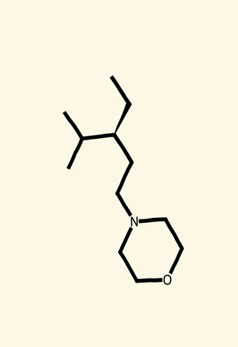 CC[C@@H](CCN1CCOCC1)C(C)C